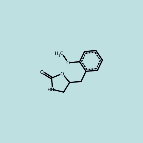 COc1ccccc1CC1CNC(=O)O1